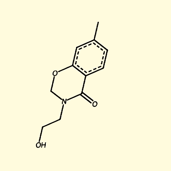 Cc1ccc2c(c1)OCN(CCO)C2=O